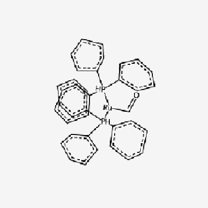 O=[CH][Ru]([PH](c1ccccc1)(c1ccccc1)c1ccccc1)[PH](c1ccccc1)(c1ccccc1)c1ccccc1